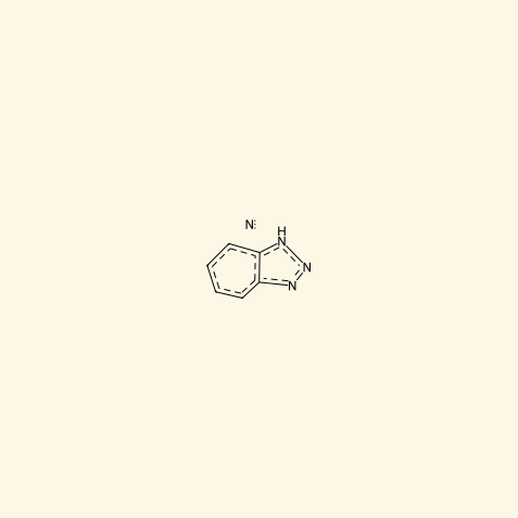 [N].c1ccc2[nH]nnc2c1